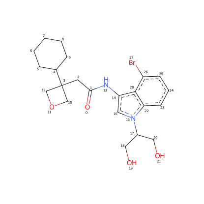 O=C(CC1(C2CCCCC2)COC1)Nc1cn(C(CO)CO)c2cccc(Br)c12